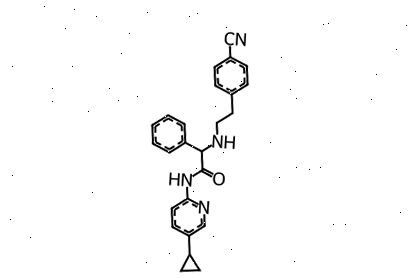 N#Cc1ccc(CCNC(C(=O)Nc2ccc(C3CC3)cn2)c2ccccc2)cc1